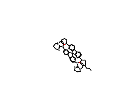 CCCC1CCC(c2ccc3c(c2)C2(c4cc(C5CCCCC5)ccc4-3)c3cc(N4CCCN5CCCN=C54)ccc3-c3ccc(N4CCCN5CCCN=C54)cc32)CC1